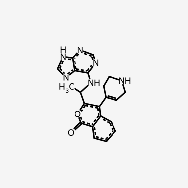 CC(Nc1ncnc2[nH]cnc12)c1oc(=O)c2ccccc2c1C1=CCNCC1